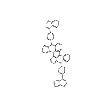 c1ccc(N(c2ccc(-c3cccc4ccccc34)cc2)c2ccccc2-c2ccc(-c3ccccc3N(c3ccccc3)c3ccc(-c4cccc5ccccc45)cc3)cc2)cc1